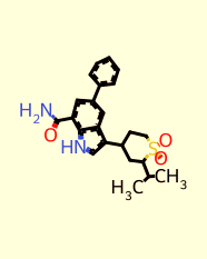 CC(C)C1CC(c2c[nH]c3c(C(N)=O)cc(-c4ccccc4)cc23)CCS1(=O)=O